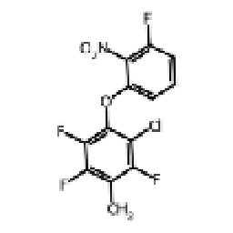 Cc1c(F)c(F)c(Oc2cccc(F)c2[N+](=O)[O-])c(Cl)c1F